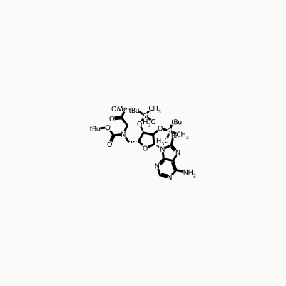 COC(=O)CN(C[C@H]1O[C@@H](n2c(Br)nc3c(N)ncnc32)C(O[Si](C)(C)C(C)(C)C)[C@@H]1O[Si](C)(C)C(C)(C)C)C(=O)OC(C)(C)C